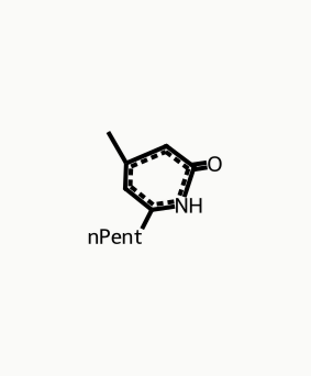 CCCCCc1cc(C)cc(=O)[nH]1